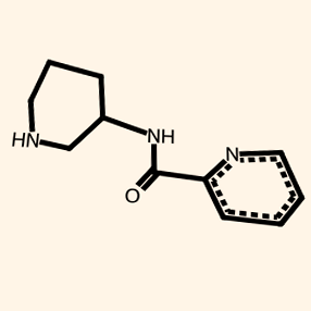 O=C(NC1CCCNC1)c1ccccn1